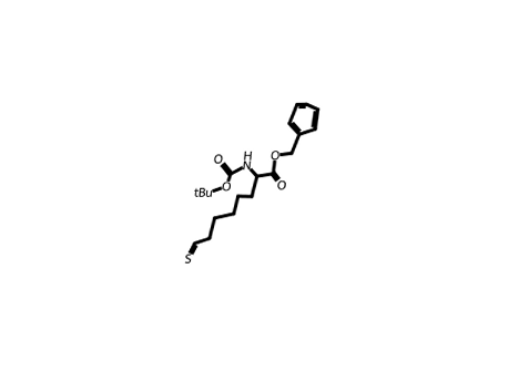 CC(C)(C)OC(=O)NC(CCCCCC=S)C(=O)OCc1ccccc1